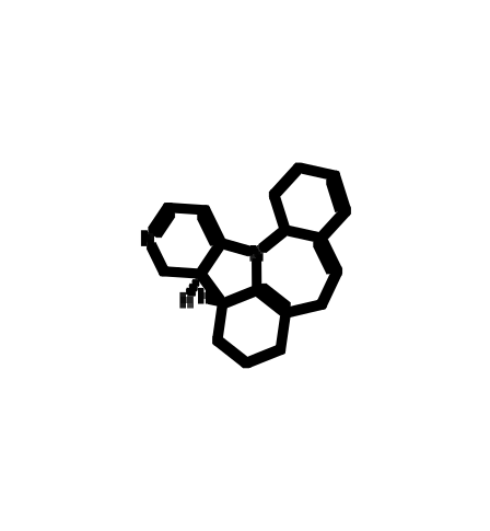 C1=CC2=CCC3=C4[C@H](CCC3)[C@H]3CN=CC=C3N4C2CC1